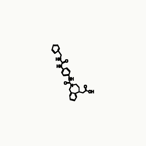 O=C(O)CC1CCN(C(=O)Nc2ccc(NC(=O)NCc3ccccc3)cc2)Cc2ccccc21